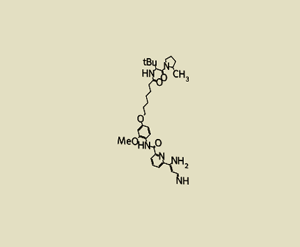 COc1cc(OCCCCCCC(=O)NC(C(=O)N2CCCC2C)C(C)(C)C)ccc1NC(=O)c1cccc(/C(N)=C/C=N)n1